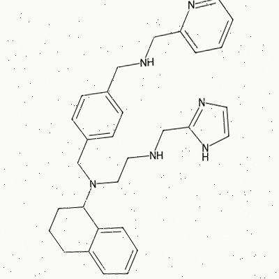 c1ccc(CNCc2ccc(CN(CCNCc3ncc[nH]3)C3CCCc4ccccc43)cc2)nc1